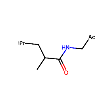 CC(=O)CNC(=O)C(C)CC(C)C